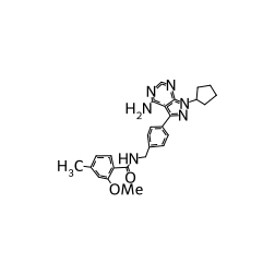 COc1cc(C)ccc1C(=O)NCc1ccc(-c2nn(C3CCCC3)c3ncnc(N)c23)cc1